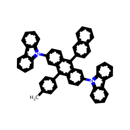 Cc1ccc(-c2c3ccc(-n4c5ccccc5c5ccccc54)cc3c(-c3ccc4ccccc4c3)c3ccc(-n4c5ccccc5c5ccccc54)cc23)cc1